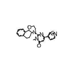 Cn1c(N2CCOC3c4ccccc4CCC32)nc(-c2ccncc2)cc1=O